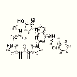 CCCN(C(=O)C(F)(F)F)[C@H]1C[C@@H](n2cnc3c(N[C@H](CO)Cc4ccccc4)nc(N4CC[C@@H](NC(=O)NC5CCNC5)C4)nc32)[C@H](O)[C@@H]1O